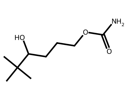 CC(C)(C)C(O)CCCOC(N)=O